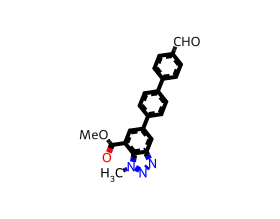 COC(=O)c1cc(-c2ccc(-c3ccc(C=O)cc3)cc2)cc2nnn(C)c12